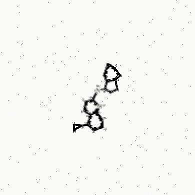 c1ccc2c(c1)CC[C@H]2Nc1ccc2c(C3CC3)cccc2n1